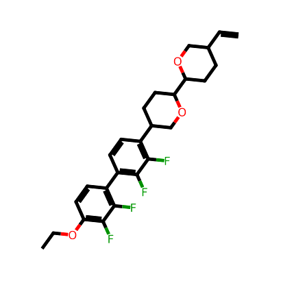 C=CC1CCC(C2CCC(c3ccc(-c4ccc(OCC)c(F)c4F)c(F)c3F)CO2)OC1